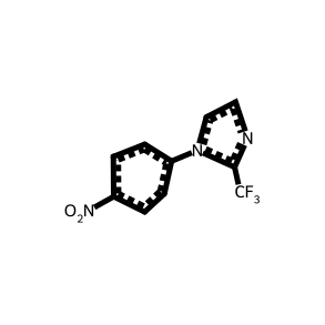 O=[N+]([O-])c1ccc(-n2ccnc2C(F)(F)F)cc1